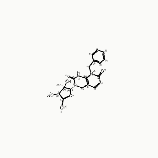 C[C@@]1(O)[C@H](O)C(O)O[C@H]1N1Cc2ccc(=O)n(Cc3ccccc3)c2NC1=O